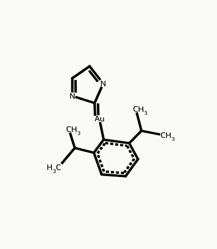 CC(C)c1cccc(C(C)C)[c]1[Au]=[C]1N=CC=N1